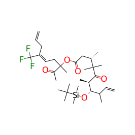 C=CC/C(=C\CC(C)(OC(=O)C[C@H](C)C(C)(C)C(=O)[C@H](C)[C@@H](O[Si](C)(C)C(C)(C)C)C(C)C=C)C(C)=O)C(F)(F)F